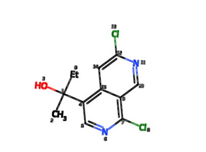 CCC(C)(O)c1cnc(Cl)c2cnc(Cl)cc12